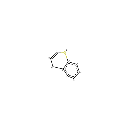 [C]1=CSc2ccccc2C1